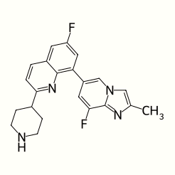 Cc1cn2cc(-c3cc(F)cc4ccc(C5CCNCC5)nc34)cc(F)c2n1